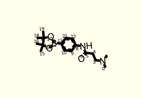 CN(C)CCC(=O)Nc1ccc(B2OC(C)(C)C(C)(C)O2)cc1